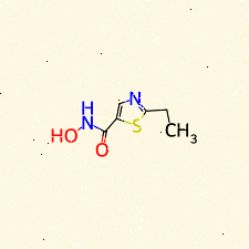 CCc1ncc(C(=O)NO)s1